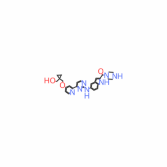 O=C(c1cc2cc(Nc3nccc(-c4cc(OCC5(CO)CC5)ccn4)n3)ccc2[nH]1)N1CCNCC1